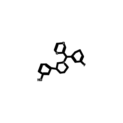 Oc1cccc(C2CCCN(C(C3=CC(F)=CCC3)C3=COC=CO3)C2)c1